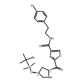 CC(C)C(C)(C)[Si](C)(C)O[C@@H]1CN[C@H](C(=O)c2nc(C(=O)NCCc3ccc(Cl)cc3)co2)C1